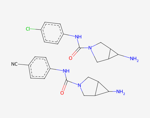 N#Cc1ccc(NC(=O)N2CC3C(N)C3C2)cc1.NC1C2CN(C(=O)Nc3ccc(Cl)cc3)CC12